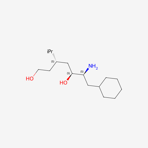 CC(C)[C@@H](CCO)C[C@H](O)[C@@H](N)CC1CCCCC1